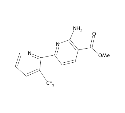 COC(=O)c1ccc(-c2ncccc2C(F)(F)F)nc1N